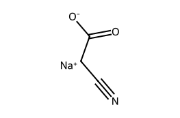 N#CCC(=O)[O-].[Na+]